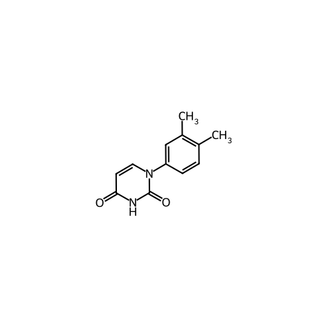 Cc1ccc(-n2ccc(=O)[nH]c2=O)cc1C